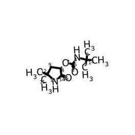 CC(C)(C)NC(=O)O[C@H]1CC(C)(C)NC1=O